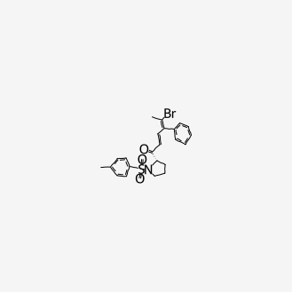 C/C(Br)=C(\C=C\C(=O)[C@@H]1CCCN1S(=O)(=O)c1ccc(C)cc1)c1ccccc1